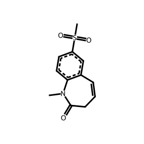 CN1C(=O)CC=Cc2cc(S(C)(=O)=O)ccc21